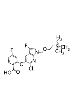 C[Si](C)(C)CCOCn1cc(F)c2cc(Oc3cc(F)ccc3C(=O)O)c(Cl)nc21